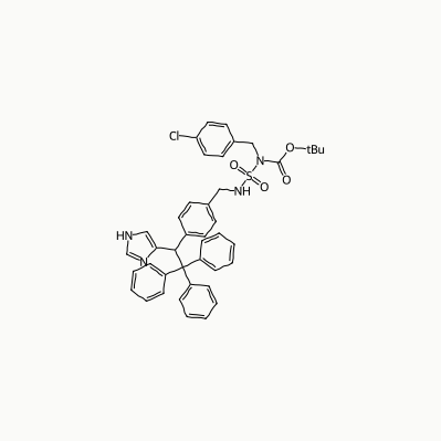 CC(C)(C)OC(=O)N(Cc1ccc(Cl)cc1)S(=O)(=O)NCc1ccc(C(c2c[nH]cn2)C(c2ccccc2)(c2ccccc2)c2ccccc2)cc1